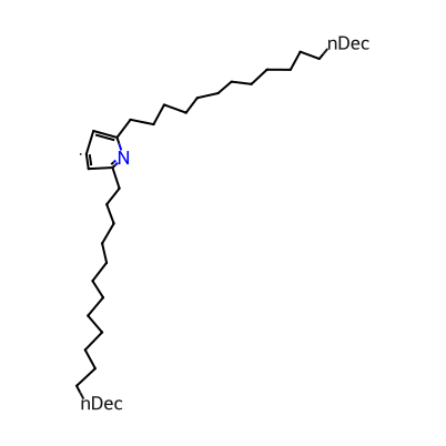 CCCCCCCCCCCCCCCCCCCCCCc1c[c]cc(CCCCCCCCCCCCCCCCCCCCCC)n1